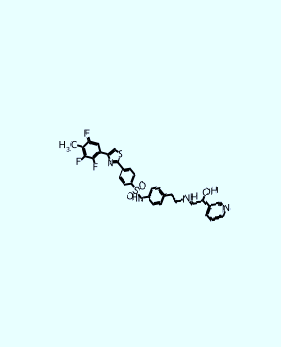 Cc1c(F)cc(-c2csc(-c3ccc(S(=O)(=O)Nc4ccc(CCNCC(O)c5cccnc5)cc4)cc3)n2)c(F)c1F